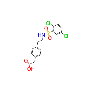 O=C(O)Cc1ccc(CCNS(=O)(=O)c2cc(Cl)ccc2Cl)cc1